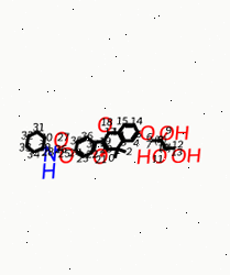 CC1(C)c2cc(OC[C@@H](O)[C@H](O)CO)ccc2C(=O)c2c1oc1cc(OC(=O)NC3CCCCC3)ccc21